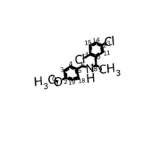 COc1ccc(CNC(C)c2cc(Cl)ccc2Cl)cc1